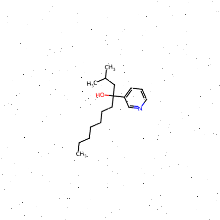 CCCCCCCC(O)(CC(C)C)c1cccnc1